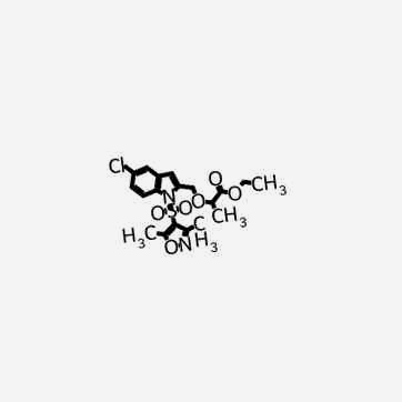 CCOC(=O)C(C)OCc1cc2cc(Cl)ccc2n1S(=O)(=O)c1c(C)noc1C